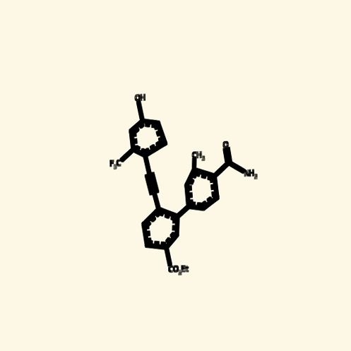 CCOC(=O)c1ccc(C#Cc2ccc(O)cc2C(F)(F)F)c(-c2ccc(C(N)=O)c(C)c2)c1